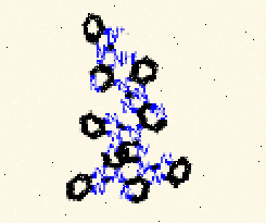 c1ccc2c(c1)[N+]=C1Nc3c(cncc3-n3c4ccccc4n4c5nccc(-n6c7nc(-n8c9c(-n%10c%11ccncc%11n%11c%12ccccc%12nc%10%11)nccc9n9c%10ccccc%10nc89)ccc7n7c8ccccc8nc67)c5nc34)N12